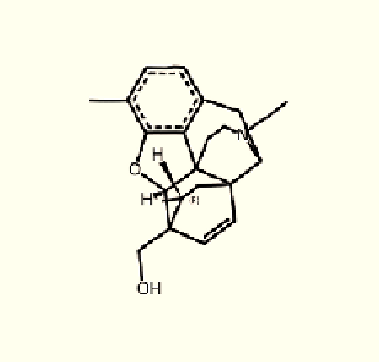 Cc1ccc2c3c1O[C@H]1C4(CO)C=CC5(C[C@H]4C)C(C2)N(C)CCC315